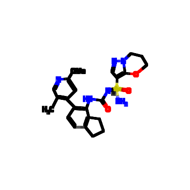 COc1cc(-c2ccc3c(c2NC(=O)N=[S@](N)(=O)c2cnn4c2OCCC4)CCC3)c(C)cn1